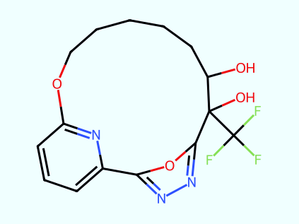 OC1CCCCCOc2cccc(n2)-c2nnc(o2)C1(O)C(F)(F)F